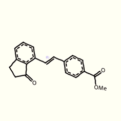 COC(=O)c1ccc(/C=C/c2cccc3c2C(=O)CC3)cc1